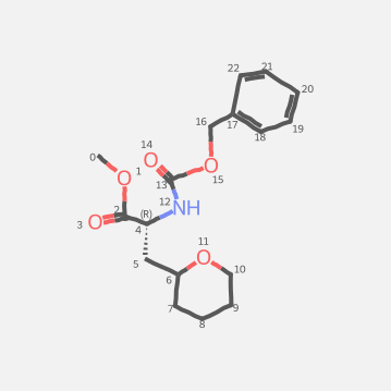 COC(=O)[C@@H](CC1CCCCO1)NC(=O)OCc1ccccc1